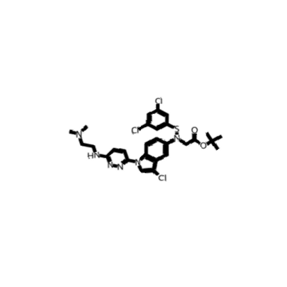 CN(C)CCNc1ccc(-n2cc(Cl)c3cc(N(CC(=O)OC(C)(C)C)Sc4cc(Cl)cc(Cl)c4)ccc32)nn1